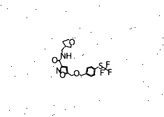 O=C(NCC1CCOC1)c1cc(COCc2ccc(SC(F)(F)F)cc2)on1